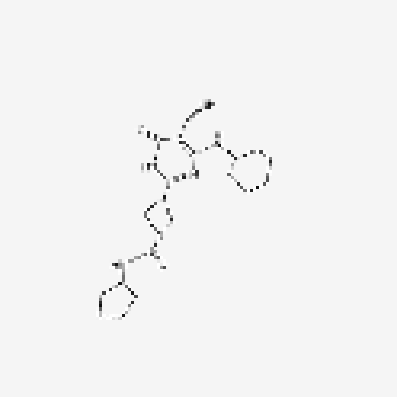 N=Cc1c(NC2CCCCC2)nc(C2CN(C(=O)NC3CCCC3)C2)[nH]c1=O